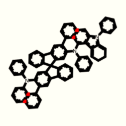 C1=c2c(n(-c3ccccc3)c3cccc(N(c4ccccc4)c4cc5c(cc4-c4ccccc4)-c4ccccc4C54c5ccccc5-c5cc(-c6ccccc6)c(N(c6ccccc6)c6ccccc6)cc54)c23)=CCC1